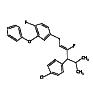 CC(C)C(C(F)=CCc1ccc(F)c(Oc2ccccc2)c1)c1ccc(Cl)cc1